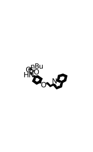 CCCCS(=O)(=O)Nc1ccc(OCCc2ccc3ccccc3n2)cc1